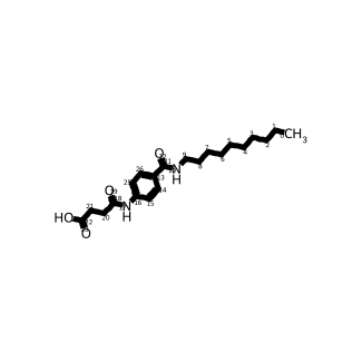 CCCCCCCCCCNC(=O)c1ccc(NC(=O)CCC(=O)O)cc1